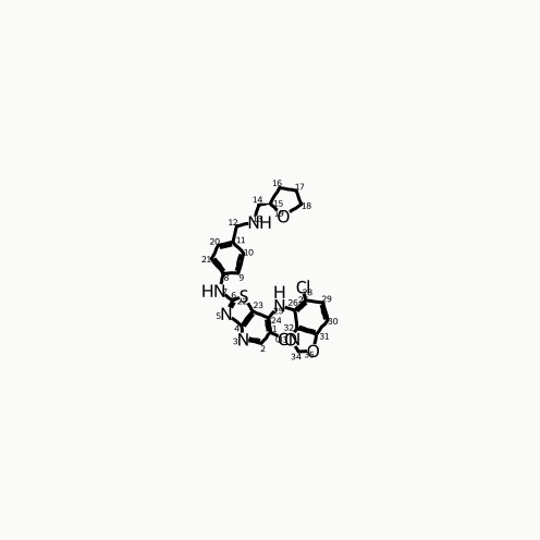 N#Cc1cnc2nc(Nc3ccc(CNC[C@H]4CCCO4)cc3)sc2c1Nc1c(Cl)ccc2c1OCO2